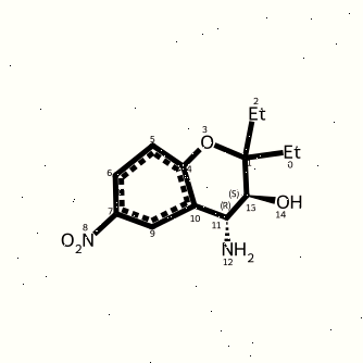 CCC1(CC)Oc2ccc([N+](=O)[O-])cc2[C@@H](N)[C@@H]1O